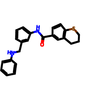 O=C(Nc1cccc(CNc2ccccc2)c1)c1ccc2c(c1)CCCS2